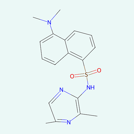 Cc1cnc(NS(=O)(=O)c2cccc3c(N(C)C)cccc23)c(C)n1